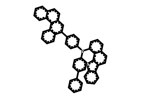 c1ccc(-c2ccc(N(c3ccc(-c4cc5ccc6ccccc6c5c5ccccc45)cc3)c3cccc4ccc5c6ccccc6sc5c34)cc2)cc1